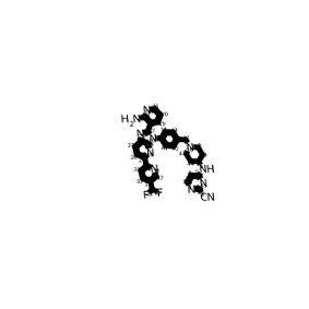 N#Cc1nccc(NC2CCN(Cc3ccc(-n4c(-c5cccnc5N)nc5ccc(-c6ccc(C(F)F)cn6)nc54)cc3)CC2)n1